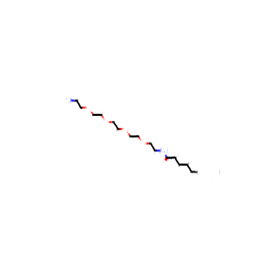 NCCOCCOCCOCCOCCNC(=O)CCCCC(=O)O